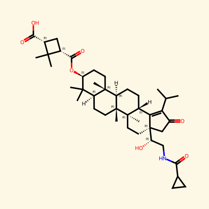 CC(C)C1=C2[C@H]3CC[C@@H]4[C@@]5(C)CC[C@H](OC(=O)[C@H]6C[C@@H](C(=O)O)C6(C)C)C(C)(C)[C@@H]5CC[C@@]4(C)[C@]3(C)CC[C@@]2([C@@H](O)CNC(=O)C2CC2)CC1=O